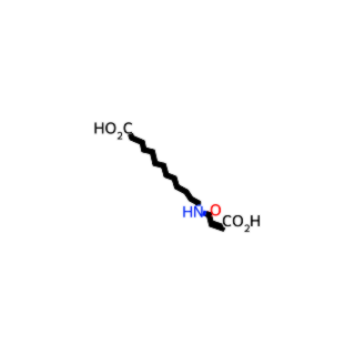 O=C(O)/C=C\C(=O)NCCCCCCCCCCCCC(=O)O